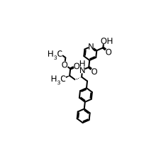 CCOC(=O)[C@H](C)C[C@@H](Cc1ccc(-c2ccccc2)cc1)NC(=O)c1ccnc(C(=O)O)c1